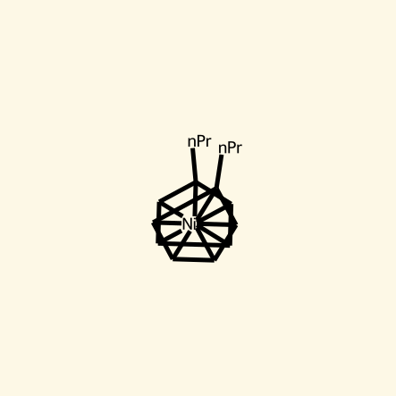 CCC[C]12[CH]3[CH]4[CH]5[CH]1[Ni]45321678[CH]2[CH]1[CH]6[C]7(CCC)[CH]28